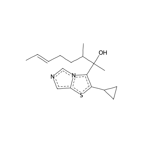 CC=CCCC(C)C(C)(O)c1c(C2CC2)sc2cncn12